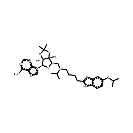 CC(C)Oc1ccc2[nH]c(CCCCN(C[C@H]3O[C@@H](n4cnc5c(N)ncnc54)[C@H]4OC(C)(C)O[C@@H]43)C(C)C)nc2c1